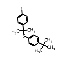 CC(C)(C)c1ccc(SC(C)(C)c2ccc(I)cc2)cc1